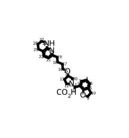 O=C(O)C(c1cccc2c1OCC2)N1CCC(OCCCCc2ccc3c(n2)NCCC3)C1